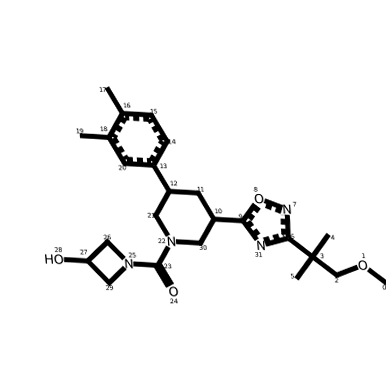 COCC(C)(C)c1noc(C2CC(c3ccc(C)c(C)c3)CN(C(=O)N3CC(O)C3)C2)n1